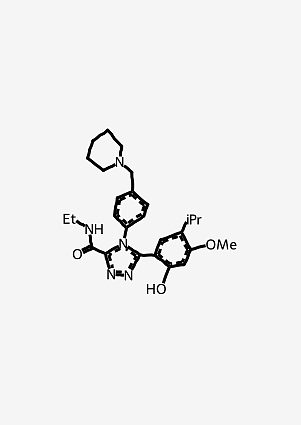 CCNC(=O)c1nnc(-c2cc(C(C)C)c(OC)cc2O)n1-c1ccc(CN2CCCCC2)cc1